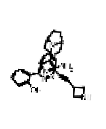 Nc1nnc(-c2ccccc2O)cc1N1CC2CCC(C1)N2c1ccnc(C#CC2CNC2)c1